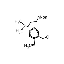 C=Cc1ccccc1CCl.CCCCCCCCCCCCN(C)C